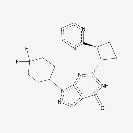 O=c1[nH]c([C@H]2CC[C@@H]2c2ncccn2)nc2c1cnn2C1CCC(F)(F)CC1